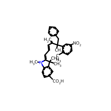 C=C(/C=C/C=C1/N(C)c2ccc(C(=O)O)cc2C1(C)C)C(C)(Cc1ccccc1)c1cc([N+](=O)[O-])ccc1C